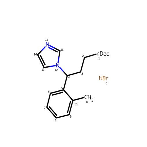 Br.CCCCCCCCCCCCC(c1ccccc1C)n1ccnc1